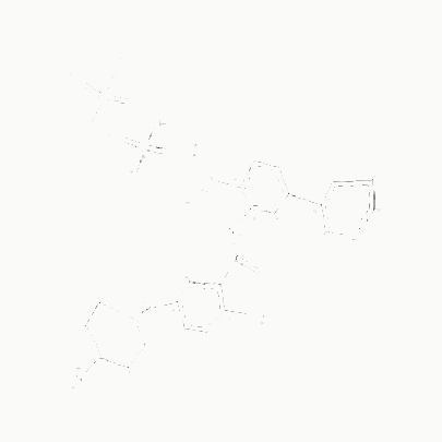 CS(=O)(=O)O.CS(=O)(=O)O.NC1CCN(Cc2ccc(O)c(C(=O)Nc3cc(-c4ccccc4)ccc3C(=O)O)c2)CC1